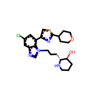 O[C@H]1CCCN[C@@H]1CCCn1cnc2cc(Cl)cc(-c3csc(C4CCOCC4)n3)c21